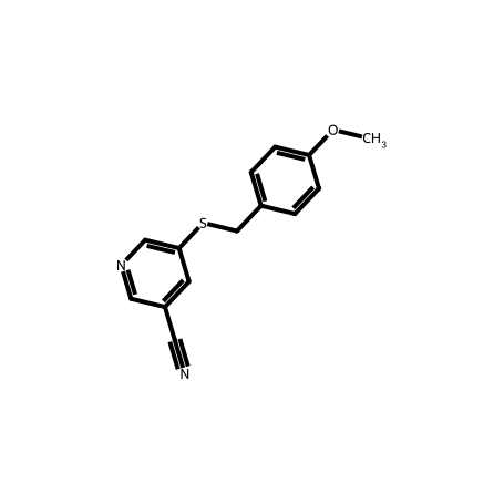 COc1ccc(CSc2cncc(C#N)c2)cc1